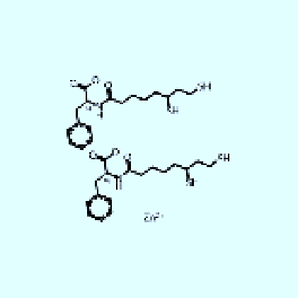 O=C(CCCCC(S)CCS)N[C@@H](Cc1ccccc1)C(=O)[O-].O=C(CCCCC(S)CCS)N[C@@H](Cc1ccccc1)C(=O)[O-].[Zn+2]